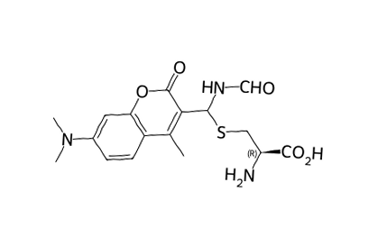 Cc1c(C(NC=O)SC[C@H](N)C(=O)O)c(=O)oc2cc(N(C)C)ccc12